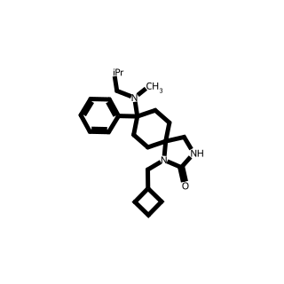 CC(C)CN(C)C1(c2ccccc2)CCC2(CC1)CNC(=O)N2CC1CCC1